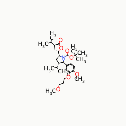 COCCCOc1cc([C@H]2[C@H](C(C)C)C[C@@H]([C@@H]3C[C@@H](C(C)C)C(=O)O3)N2C(=O)OC(C)(C)C)ccc1OC